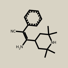 CC1(C)CC(C(N)=C(C#N)c2ccccc2)CC(C)(C)N1